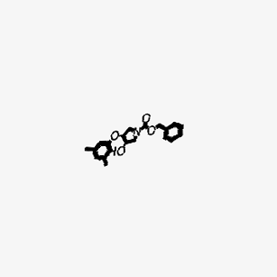 Cc1cc(C)cc(O[C@@H]2CN(C(=O)OCc3ccccc3)C[C@H]2O)c1